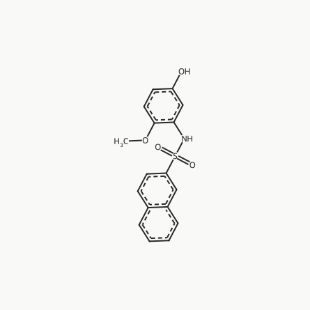 COc1ccc(O)cc1NS(=O)(=O)c1ccc2ccccc2c1